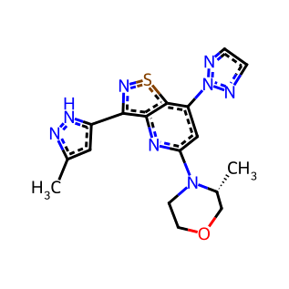 Cc1cc(-c2nsc3c(-n4nccn4)cc(N4CCOC[C@H]4C)nc23)[nH]n1